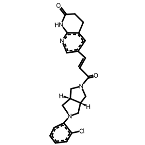 O=C1CCc2cc(/C=C/C(=O)N3C[C@@H]4CN(c5ccccc5Cl)C[C@@H]4C3)cnc2N1